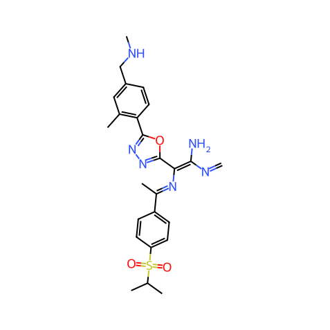 C=N/C(N)=C(\N=C(/C)c1ccc(S(=O)(=O)C(C)C)cc1)c1nnc(-c2ccc(CNC)cc2C)o1